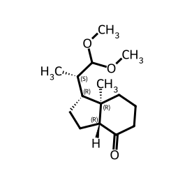 COC(OC)[C@@H](C)[C@H]1CC[C@H]2C(=O)CCC[C@]12C